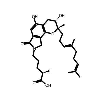 CC(C)=CCC/C(C)=C/CC[C@]1(C)Oc2c(c(O)cc3c2CN(CCC[C@@H](I)C(=O)O)C3=O)C[C@@H]1O